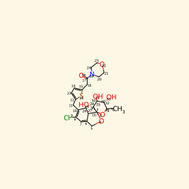 C[C@H]1O[C@]2(OCC3=CC(Cl)=C(Cc4ccc(CC(=O)N5CCOCC5)s4)CC32)[C@H](O)[C@@H](O)[C@@H]1O